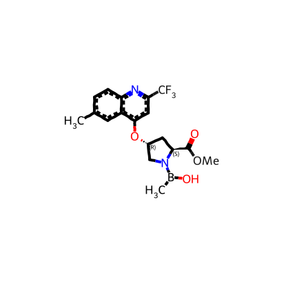 COC(=O)[C@@H]1C[C@@H](Oc2cc(C(F)(F)F)nc3ccc(C)cc23)CN1B(C)O